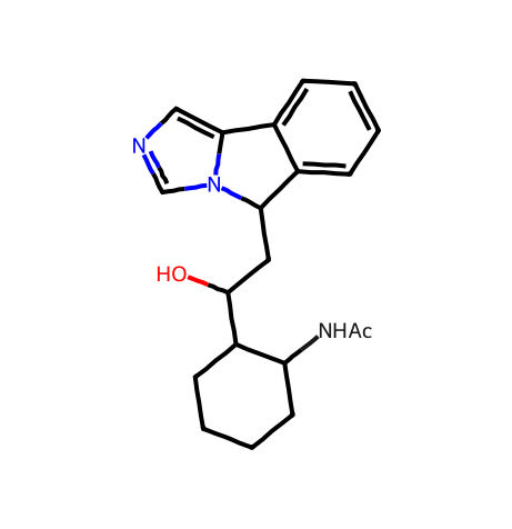 CC(=O)NC1CCCCC1C(O)CC1c2ccccc2-c2cncn21